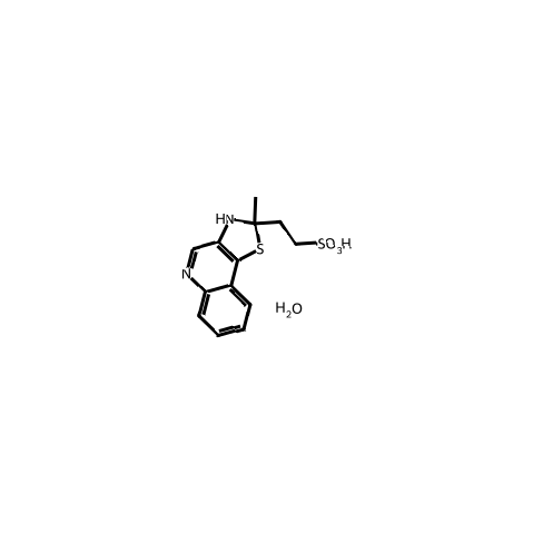 CC1(CCS(=O)(=O)O)Nc2cnc3ccccc3c2S1.O